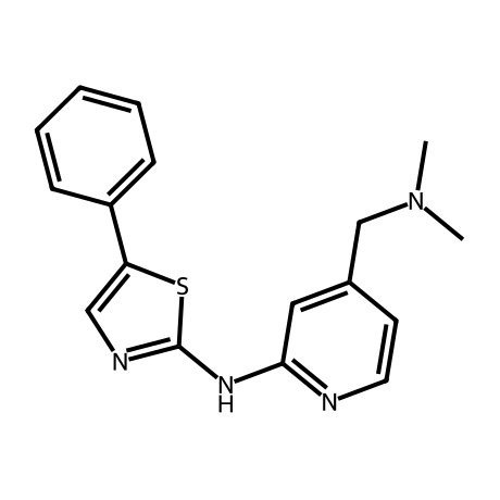 CN(C)Cc1ccnc(Nc2ncc(-c3ccccc3)s2)c1